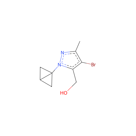 Cc1nn(C23CC2C3)c(CO)c1Br